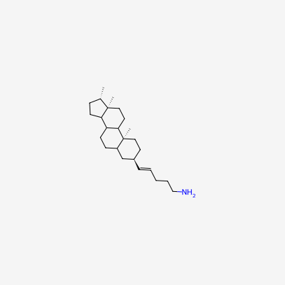 C[C@H]1CCC2C3CCC4C[C@H](/C=C/CCCN)CC[C@]4(C)C3CC[C@@]21C